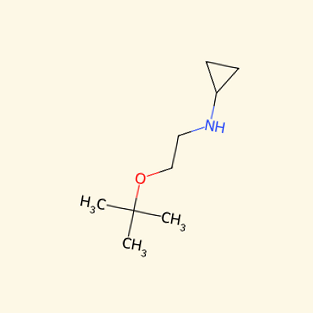 CC(C)(C)OCCNC1CC1